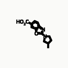 CC1CCN(c2nc3ccc(C(=O)O)cc3o2)C1